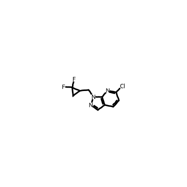 FC1(F)CC1Cn1ncc2ccc(Cl)nc21